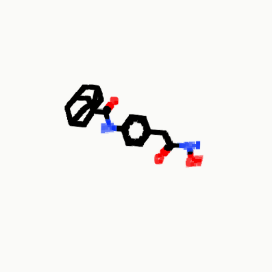 O=C(Cc1ccc(NC(=O)C23CC4CC(CC(C4)C2)C3)cc1)NO